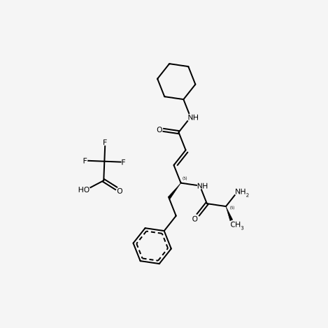 C[C@H](N)C(=O)N[C@H](C=CC(=O)NC1CCCCC1)CCc1ccccc1.O=C(O)C(F)(F)F